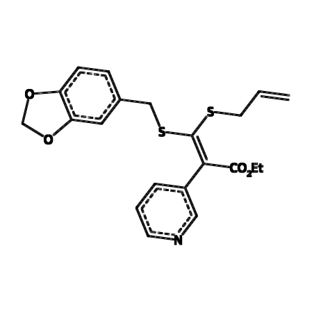 C=CCSC(SCc1ccc2c(c1)OCO2)=C(C(=O)OCC)c1cccnc1